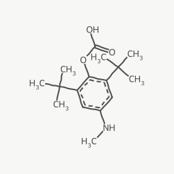 CNc1cc(C(C)(C)C)c(OC(=O)O)c(C(C)(C)C)c1